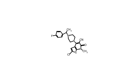 CC(c1ccc(F)cc1)N1CCN(c2c(C#N)c(=O)n(C)c3sc(Cl)cc23)CC1